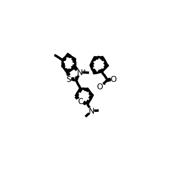 Cc1ccc2c(c1)sc(-c1ccc(N(C)C)cc1)[n+]2C.O=C([O-])c1ccccc1